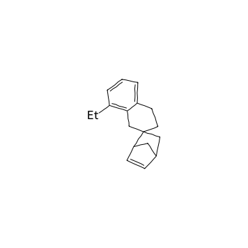 CCc1cccc2c1CC1(CC2)CC2C=CC1C2